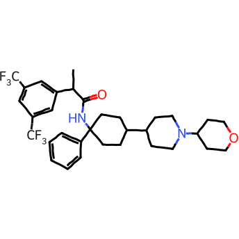 CC(C(=O)NC1(c2ccccc2)CCC(C2CCN(C3CCOCC3)CC2)CC1)c1cc(C(F)(F)F)cc(C(F)(F)F)c1